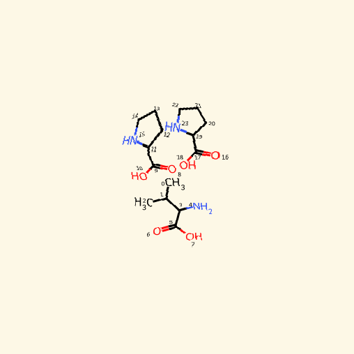 CC(C)C(N)C(=O)O.O=C(O)C1CCCN1.O=C(O)C1CCCN1